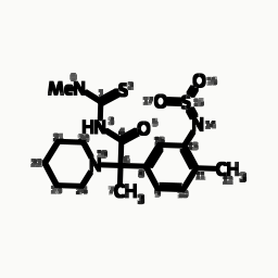 CNC(=S)NC(=O)C(C)(c1ccc(C)c(N=S(=O)=O)c1)N1CCCCC1